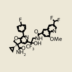 COc1cc(C(=O)NCC(O)(c2cc3c(c(-c4ccc(F)cc4)n2)OC[C@@]3(C(N)=O)C2CC2)C(F)(F)F)cc2cc(C(F)F)cnc12